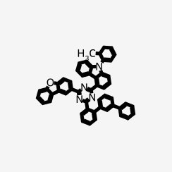 CC1CC=CC=C1n1c2ccccc2c2c(-c3nc(-c4ccc5oc6ccccc6c5c4)nc(-c4ccccc4-c4cccc(-c5ccccc5)c4)n3)cccc21